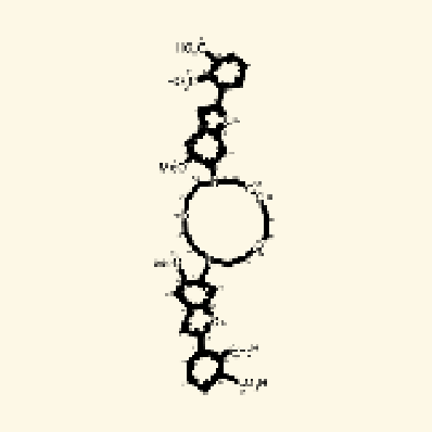 COc1cc2cc(-c3cccc(C(=O)O)c3C(=O)O)oc2cc1N1CCOCCOCCN(c2cc3oc(-c4cccc(C(=O)O)c4C(=O)O)cc3cc2OC)CCOCC1